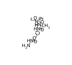 CC(C)[C@H](NC(=O)CI)C(=O)N[C@@H](C)C(=O)Nc1ccc(COC(=O)NCCN)cc1